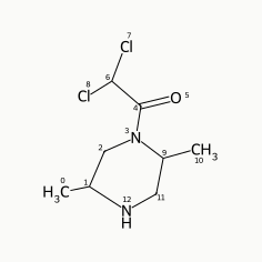 CC1CN(C(=O)C(Cl)Cl)C(C)CN1